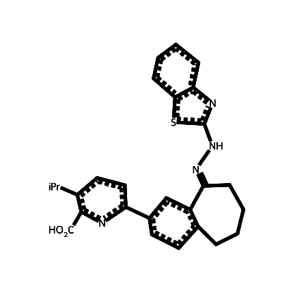 CC(C)c1ccc(-c2ccc3c(c2)/C(=N/Nc2nc4ccccc4s2)CCCC3)nc1C(=O)O